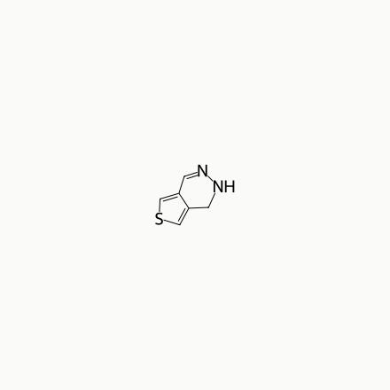 C1=NNCc2cscc21